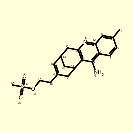 Cc1ccc2c(N)c3c(nc2c1)CC1C=C(CCOS(C)(=O)=O)CC3C1